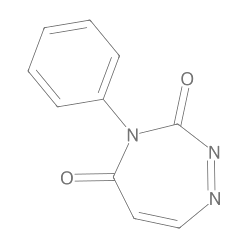 O=c1ccnnc(=O)n1-c1ccccc1